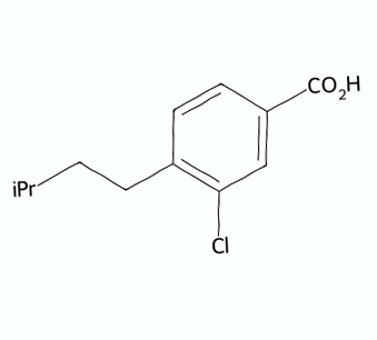 CC(C)CCc1ccc(C(=O)O)cc1Cl